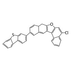 Clc1cc2oc3c(c2c2ccccc12)C=C1C=C(c2ccc4c(c2)sc2ccccc24)C=CC1C3